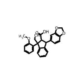 CCC1(c2ccccc2OC)c2ccccc2C(c2ccc3c(c2)OCO3)C1C(=O)O